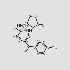 CC(C1=NNC(C)(N[C@@H]2CCN(C)C2)N=C1)c1ccc(F)cc1